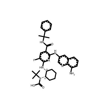 CC(C)(NC(=O)c1cc(F)c(N[C@@H]2CCCC[C@@H]2N(C(=O)O)C(C)(C)C)nc1Nc1cnc2c(N)cccc2c1)c1ccccc1